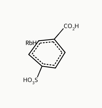 O=C(O)c1ccc(S(=O)(=O)O)cc1.[RbH]